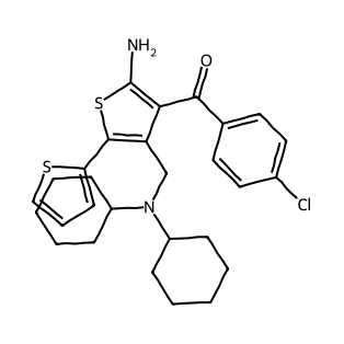 Nc1sc(-c2cccs2)c(CN(C2CCCCC2)C2CCCCC2)c1C(=O)c1ccc(Cl)cc1